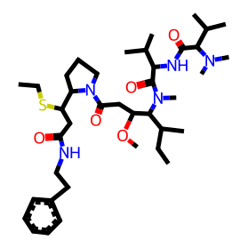 CCSC(CC(=O)NCCc1ccccc1)C1CCCN1C(=O)CC(OC)C(C(C)CC)N(C)C(=O)C(NC(=O)C(C(C)C)N(C)C)C(C)C